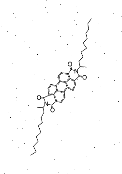 CCCCCCCCCCC(C)N1C(=O)c2ccc3c4ccc5c6c(ccc(c7ccc(c2c37)C1=O)c64)C(=O)N(C(C)CCCCCCCCCC)C5=O